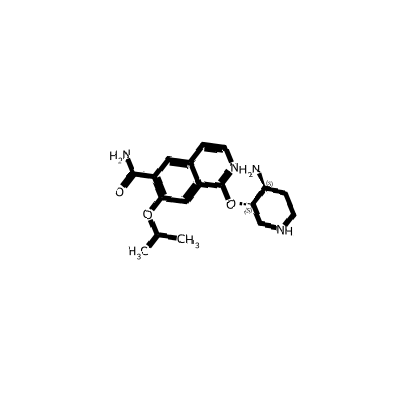 CC(C)Oc1cc2c(O[C@H]3CNCC[C@@H]3N)nccc2cc1C(N)=O